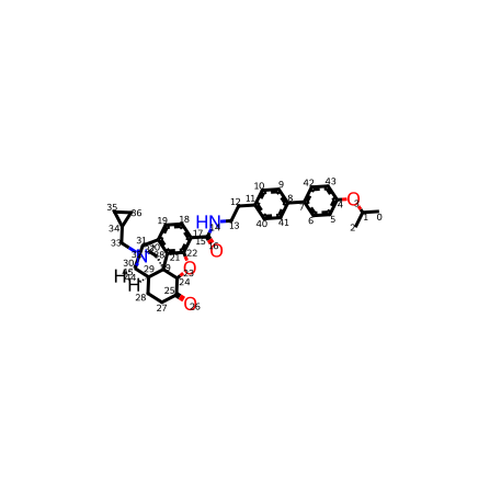 CC(C)Oc1ccc(-c2ccc(CCNC(=O)c3ccc4c5c3OC3C(=O)CC[C@H]6[C@@H](C4)N(CC4CC4)CC[C@]536)cc2)cc1